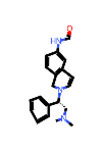 CN(C)C[C@H](c1ccccc1)N1C=Cc2cc(NC=O)ccc2C1